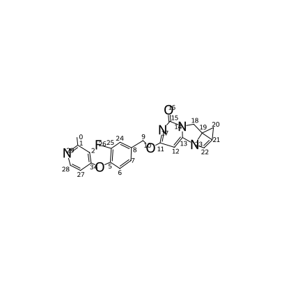 Cc1cc(Oc2ccc(COc3cc4n(c(=O)n3)CC35CC3=CN45)cc2F)ccn1